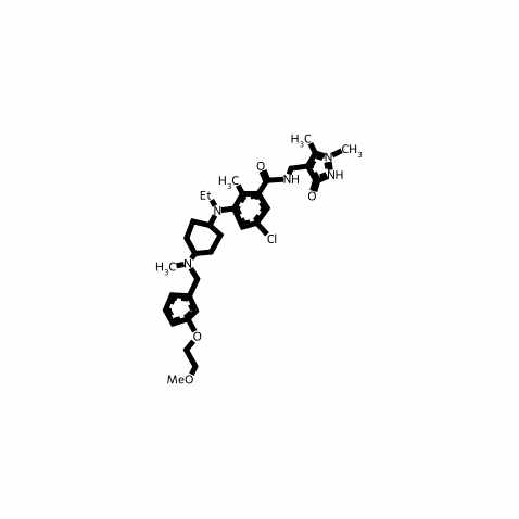 CCN(c1cc(Cl)cc(C(=O)NCc2c(C)n(C)[nH]c2=O)c1C)C1CCC(N(C)Cc2cccc(OCCOC)c2)CC1